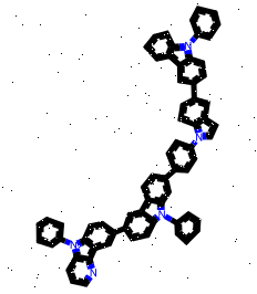 c1ccc(-n2c3ccccc3c3cc(-c4ccc5c(ccn5-c5ccc(-c6ccc7c8cc(-c9ccc%10c(c9)c9ncccc9n%10-c9ccccc9)ccc8n(-c8ccccc8)c7c6)cc5)c4)ccc32)cc1